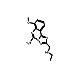 CCNCc1nc2c3cccc(OC)c3nc(N)n2n1